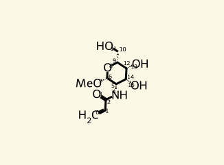 C=CC(=O)N[C@@H]1[C@H](OC)O[C@H](CO)[C@H](O)[C@@H]1O